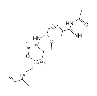 C=C/C(C)=C/C[C@@H]1O[C@H](C)[C@H](NC(/C=C\C(C)C(=N)NC(C)=O)OC)C[C@@H]1C